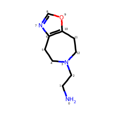 NCCN1CCc2ncoc2CC1